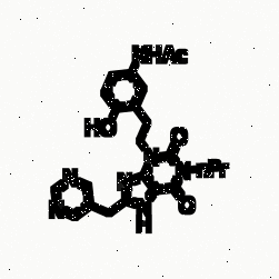 CCCn1c(=O)c2[nH]c(Cc3cncnc3)nc2n(CCc2cc(NC(C)=O)ccc2O)c1=O